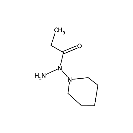 CCC(=O)N(N)N1CCCCC1